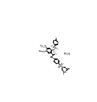 COc1cc(NS(=O)(=O)c2ccc(Cl)cc2)c(C(=O)Nc2ccc(S(=O)(=O)N3CC(C)OC(C)C3)cc2)cc1OC.[NaH]